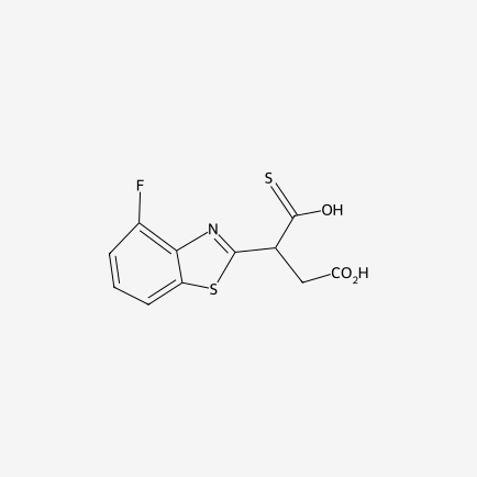 O=C(O)CC(C(O)=S)c1nc2c(F)cccc2s1